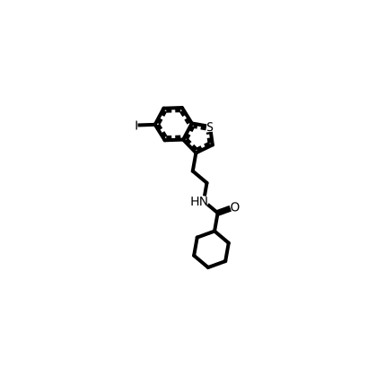 O=C(NCCc1csc2ccc(I)cc12)C1CCCCC1